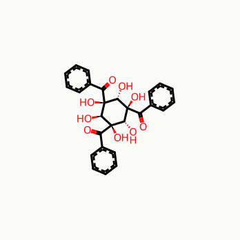 O=C(c1ccccc1)[C@]1(O)[C@H](O)[C@](O)(C(=O)c2ccccc2)[C@H](O)[C@](O)(C(=O)c2ccccc2)[C@H]1O